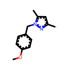 [CH2]c1cc(C)n(Cc2ccc(OC)cc2)n1